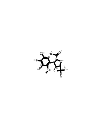 COc1c([C@H]2[C@H](C(=O)O)O[C@@](C)(C(F)(F)F)[C@H]2C)cc(Cl)c(F)c1F